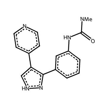 CNC(=O)Nc1cccc(-c2n[nH]cc2-c2ccncc2)c1